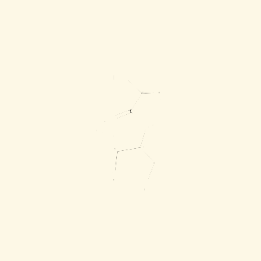 CC(O)C(=O)OC(CO)CO.[CaH2]